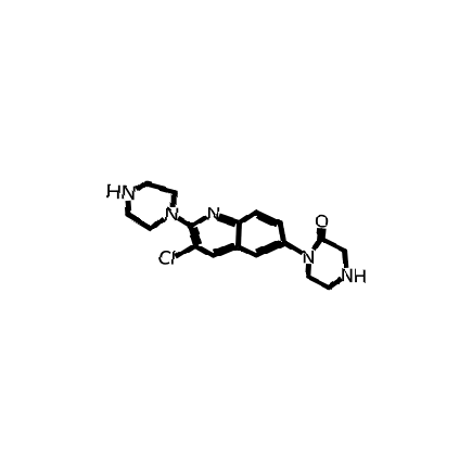 O=C1CNCCN1c1ccc2nc(N3CCNCC3)c(Cl)cc2c1